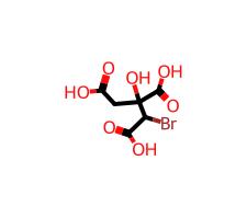 O=C(O)CC(O)(C(=O)O)C(Br)C(=O)O